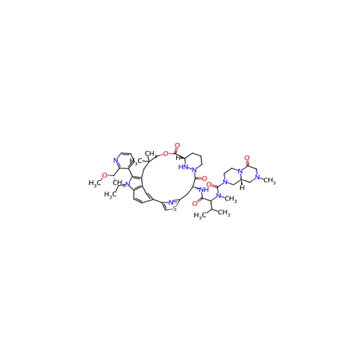 CCn1c(-c2cccnc2[C@H](C)OC)c2c3cc(ccc31)-c1csc(n1)C[C@H](NC(=O)C(C(C)C)N(C)C(=O)N1CCN3C(=O)CN(C)C[C@@H]3C1)C(=O)N1CCC[C@H](N1)C(=O)OCC(C)(C)C2